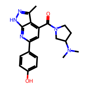 Cc1n[nH]c2nc(-c3ccc(O)cc3)cc(C(=O)N3CCC(N(C)C)C3)c12